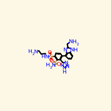 NCCCNS(=O)(=O)c1ccc(-c2cccc3[nH]c(CN)nc23)c(-c2nn[nH]n2)c1S(N)(=O)=O